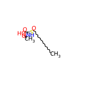 CCCCCCCCCCCCCCCC(=O)SC[C@H](NC(C)=O)C(=O)O